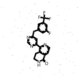 O=C1NCCc2c1ccnc2-c1cc(Cc2cc(F)cc(C(F)(F)F)c2)ncn1